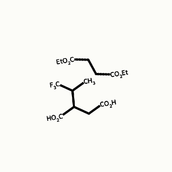 CC(C(CC(=O)O)C(=O)O)C(F)(F)F.CCOC(=O)CCC(=O)OCC